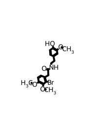 COc1cc(CCNC(=O)Cc2ccc(OC)c(OC)c2Br)ccc1O